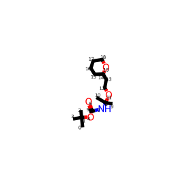 CC(C)(C)OC(=O)NC(C)(C)OCCC1CCCCO1